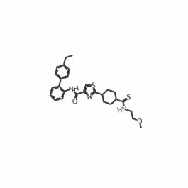 CCc1ccc(-c2ccccc2NC(=O)c2csc(C3CCC(C(=S)NCCOC)CC3)n2)cc1